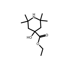 CCOC(=O)C1(O)CC(C)(C)NC(C)(C)C1